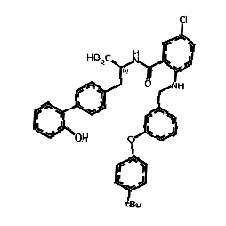 CC(C)(C)c1ccc(Oc2cccc(CNc3ccc(Cl)cc3C(=O)N[C@@H](Cc3ccc(-c4ccccc4O)cc3)C(=O)O)c2)cc1